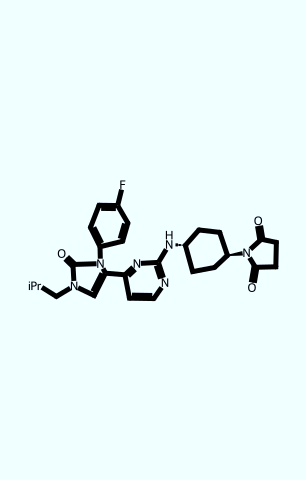 CC(C)Cn1cc(-c2ccnc(N[C@H]3CC[C@H](N4C(=O)CCC4=O)CC3)n2)n(-c2ccc(F)cc2)c1=O